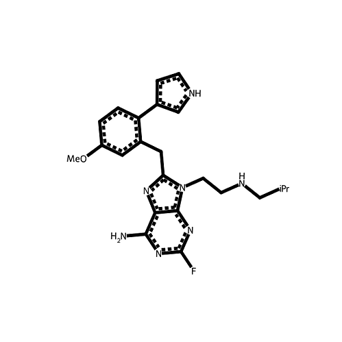 COc1ccc(-c2cc[nH]c2)c(Cc2nc3c(N)nc(F)nc3n2CCNCC(C)C)c1